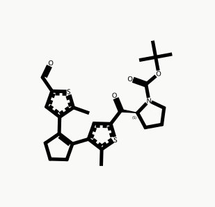 Cc1sc(C=O)cc1C1=C(c2cc(C(=O)[C@@H]3CCCN3C(=O)OC(C)(C)C)sc2C)CCC1